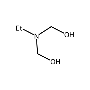 CCN(CO)CO